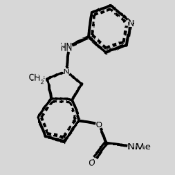 [CH2].[CH2]NC(=O)Oc1cccc2c1CN(Nc1ccncc1)C2